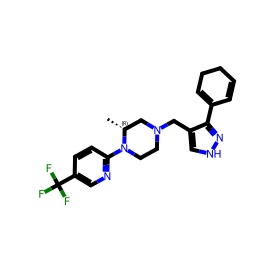 C[C@@H]1CN(Cc2c[nH]nc2C2=CCCC=C2)CCN1c1ccc(C(F)(F)F)cn1